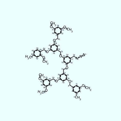 COc1cc(C)cc(COc2cc(COc3cc(CN=[N+]=[N-])cc(OCc4cc(OCc5cc(OC)cc(OC)c5)cc(OCc5ccc(C)cc5OC)c4)c3)cc(OCc3cc(OC)cc(OC)c3)c2)c1